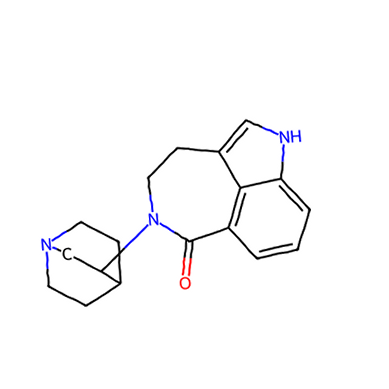 O=C1c2cccc3[nH]cc(c23)CCN1C1CN2CCC1CC2